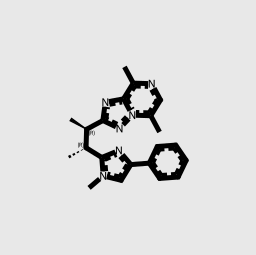 Cc1ncc(C)n2nc([C@H](C)[C@@H](C)c3nc(-c4ccccc4)cn3C)nc12